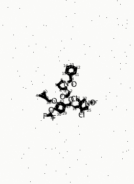 O=C(C[C@@H]1CCCN1C(=O)c1ccccc1)O[C@@H](Cc1c(Cl)c[n+]([O-])cc1Cl)c1ccc(OC(F)F)c(OCC2CC2)c1